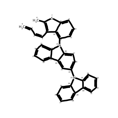 C=C/C=C\c1c(C)sc2cccc(-n3c4ccccc4c4cc(-n5c6ccccc6c6ccccc65)ccc43)c12